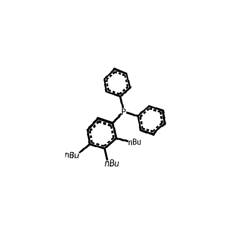 CCCCc1ccc(P(c2ccccc2)c2ccccc2)c(CCCC)c1CCCC